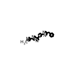 Cn1cc(-c2cn3ncc(N4CCC(c5ncc(Cc6ccccc6)cn5)C4)c3cn2)cn1